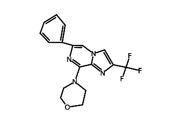 FC(F)(F)c1cn2cc(-c3ccccc3)nc(N3CCOCC3)c2n1